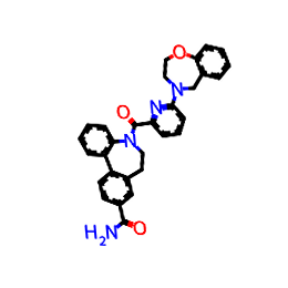 NC(=O)c1ccc2c(c1)CCN(C(=O)c1cccc(N3CCOc4ccccc4C3)n1)c1ccccc1-2